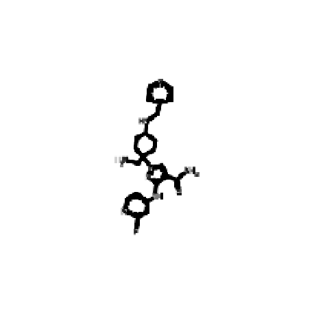 NCC1(n2cc(C(N)=O)c(Nc3ccnc(F)c3)n2)CCC(NCc2ccncc2)CC1